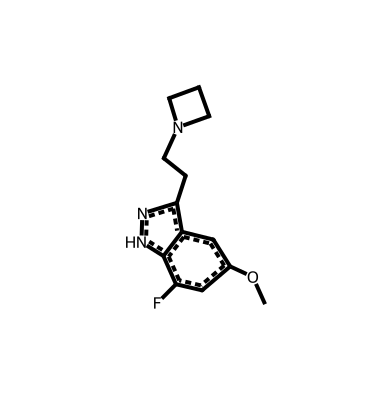 COc1cc(F)c2[nH]nc(CCN3CCC3)c2c1